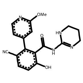 COc1cc(-c2c(C#N)ccc(O)c2C(=O)NC2=NCCCN2)ccn1